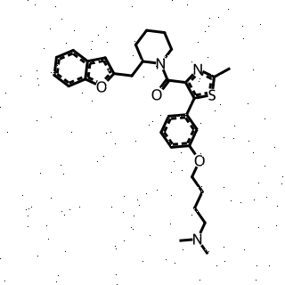 Cc1nc(C(=O)N2CCCCC2Cc2cc3ccccc3o2)c(-c2cccc(OCCCCN(C)C)c2)s1